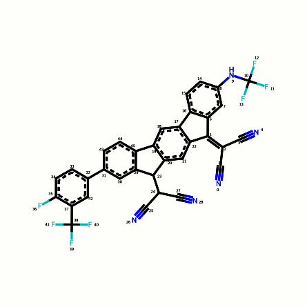 N#CC(C#N)=C1c2cc(NC(F)(F)F)ccc2-c2cc3c(cc21)C(C(C#N)C#N)c1cc(-c2ccc(F)c(C(F)(F)F)c2)ccc1-3